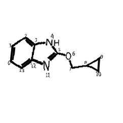 c1ccc2[nH]c(OCC3CC3)nc2c1